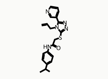 C=CCn1c(SCC(=O)Nc2ccc(C(C)C)cc2)nnc1-c1cccnc1